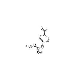 CC(=O)c1ccc(OB(O)ON)cc1